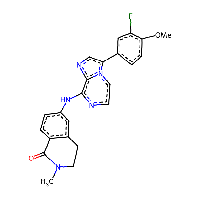 COc1ccc(-c2cnc3c(Nc4ccc5c(c4)CCN(C)C5=O)nccn23)cc1F